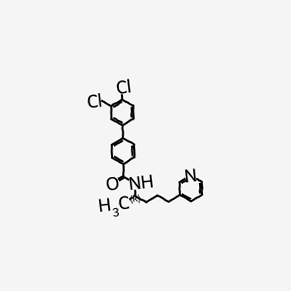 C[C@H](CCCc1cccnc1)NC(=O)c1ccc(-c2ccc(Cl)c(Cl)c2)cc1